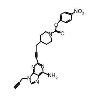 C#CCn1cnc2c(N)nc(C#CCC3CCN(C(=O)Oc4ccc([N+](=O)[O-])cc4)CC3)nc21